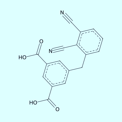 N#Cc1cccc(Cc2cc(C(=O)O)cc(C(=O)O)c2)c1C#N